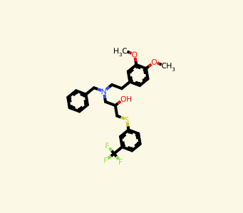 COc1ccc(CCN(Cc2ccccc2)CC(O)CSc2cccc(C(F)(F)F)c2)cc1OC